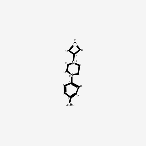 CC(C)(C)c1ccc(N2CCN(C3COC3)CC2)cc1